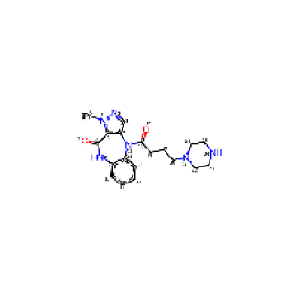 CC(C)n1ncc2c1C(=O)Nc1ccccc1N2C(=O)CCCN1CCNCC1